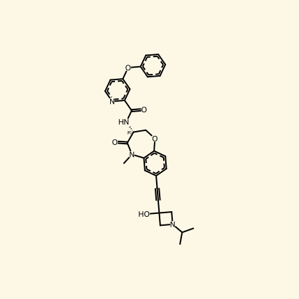 CC(C)N1CC(O)(C#Cc2ccc3c(c2)N(C)C(=O)[C@H](NC(=O)c2cc(Oc4ccccc4)ccn2)CO3)C1